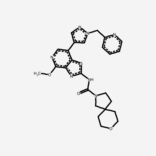 COc1ncc(-c2cnn(Cc3ccccn3)c2)c2sc(NC(=O)N3CCC4(CCOCC4)C3)nc12